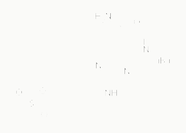 CCC(C)Nc1nc(Nc2ccc(OS(C)(=O)=O)cc2)ncc1C(N)=O